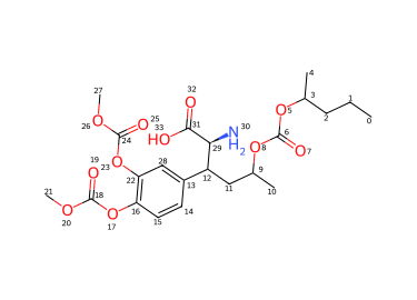 CCCC(C)OC(=O)OC(C)CC(c1ccc(OC(=O)OC)c(OC(=O)OC)c1)[C@H](N)C(=O)O